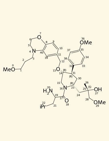 COCCCN1CCOc2ccc(CO[C@H]3CN(C(=O)C(N)CC(C)C)[C@@H](C[C@](C)(O)COC)C[C@@H]3c3ccc(OC)cc3)cc21